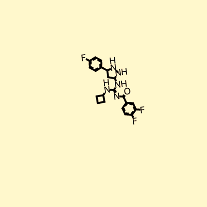 O=C(/N=C(/NC1CCC1)NC1CC(c2ccc(F)cc2)NN1)c1ccc(F)c(F)c1